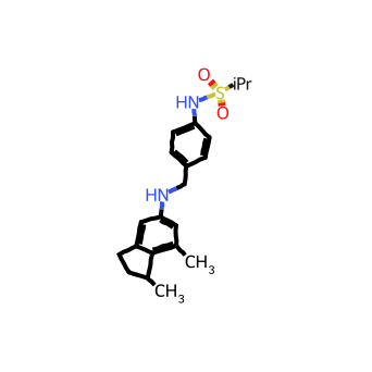 Cc1cc(NCc2ccc(NS(=O)(=O)C(C)C)cc2)cc2c1C(C)CC2